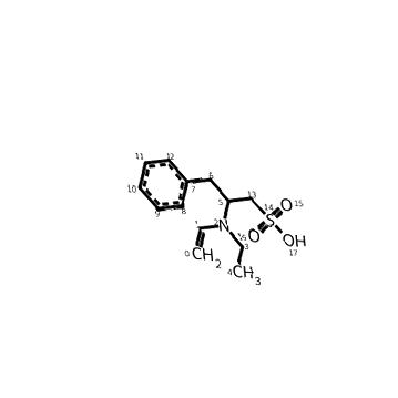 C=CN(CC)C(Cc1ccccc1)CS(=O)(=O)O